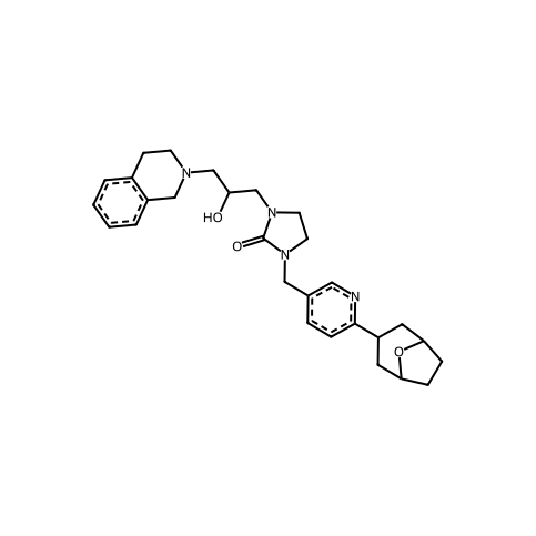 O=C1N(Cc2ccc(C3CC4CCC(C3)O4)nc2)CCN1CC(O)CN1CCc2ccccc2C1